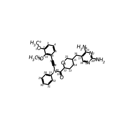 COc1cccc(C#CN(C(=O)C2C[C]C(Cc3cnc(N)nc3N)CO2)c2ccccc2)c1OC